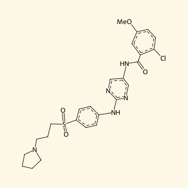 COc1ccc(Cl)c(C(=O)Nc2cnc(Nc3ccc(S(=O)(=O)CCCN4CCCC4)cc3)nc2)c1